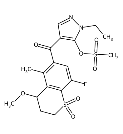 CCn1ncc(C(=O)c2cc(F)c3c(c2C)C(OC)CCS3(=O)=O)c1OS(C)(=O)=O